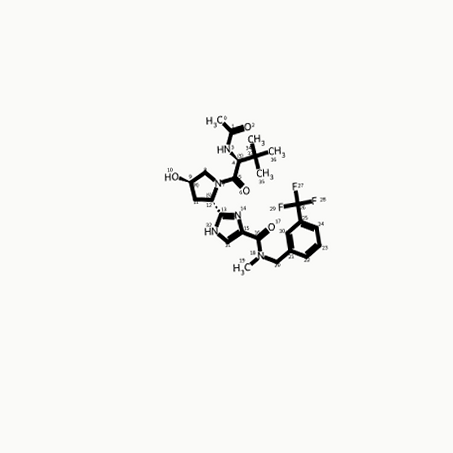 CC(=O)N[C@H](C(=O)N1C[C@H](O)C[C@H]1c1nc(C(=O)N(C)Cc2cccc(C(F)(F)F)c2)c[nH]1)C(C)(C)C